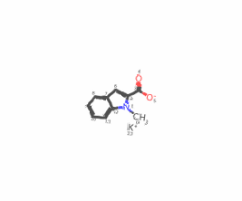 Cn1c(C(=O)[O-])cc2ccccc21.[K+]